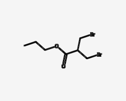 CCCOC(=O)C(CBr)CBr